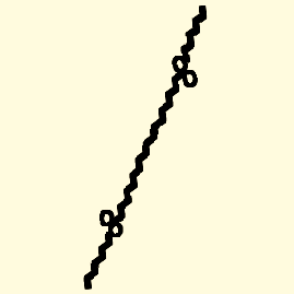 CCCCCCCCOC(=O)CCCCCCCCCCCCCCCCCCC(=O)OCCCCCCCC